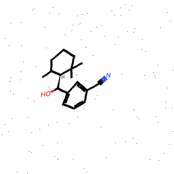 CC1CCCC(C)(C)[C@H]1C(O)c1cccc(C#N)c1